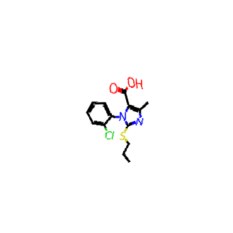 CCCSc1nc(C)c(C(=O)O)n1-c1ccccc1Cl